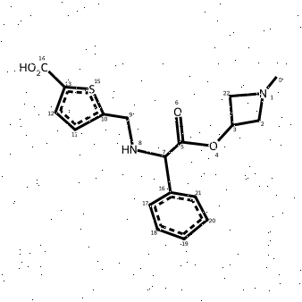 CN1CC(OC(=O)C(NCc2ccc(C(=O)O)s2)c2ccccc2)C1